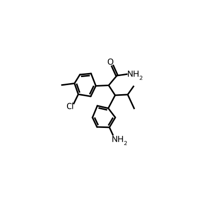 Cc1ccc(C(C(N)=O)C(c2cccc(N)c2)C(C)C)cc1Cl